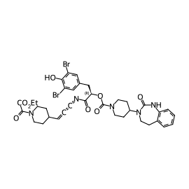 CCOC(=O)C(=O)N1CCC(C=C=C=NC(=O)[C@@H](Cc2cc(Br)c(O)c(Br)c2)OC(=O)N2CCC(N3CCc4ccccc4NC3=O)CC2)CC1